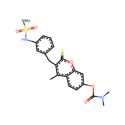 CNS(=O)(=O)Nc1cccc(Cc2c(C)c3ccc(OC(=O)N(C)C)cc3oc2=S)c1